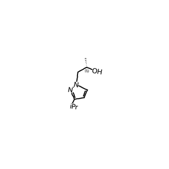 CC(C)c1ccn(C[C@H](C)O)n1